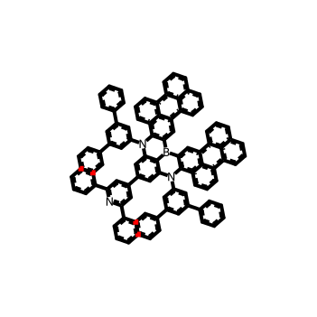 c1ccc(-c2cc(-c3ccccc3)cc(N3c4cc(-c5cc(-c6ccccc6)nc(-c6ccccc6)c5)cc5c4B(c4cc6c7cccc8cccc(c9cccc(c43)c96)c87)c3cc4c6cccc7cccc(c8cccc(c3N5c3cc(-c5ccccc5)cc(-c5ccccc5)c3)c84)c76)c2)cc1